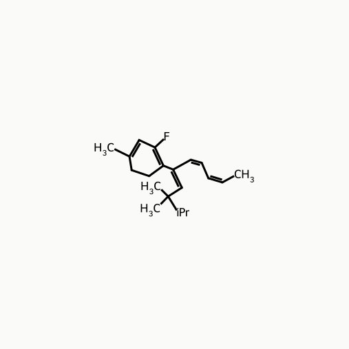 C\C=C/C=C\C(=C\C(C)(C)C(C)C)C1=C(F)C=C(C)CC1